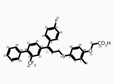 Cc1cc(SC/C=C(\c2ccc(F)cc2)c2ccc(-c3ccccc3)c(C(F)(F)F)c2)ccc1OCC(=O)O